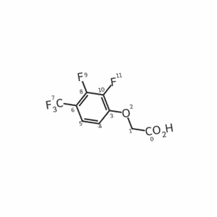 O=C(O)COc1ccc(C(F)(F)F)c(F)c1F